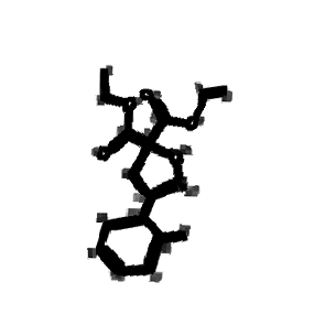 CCOC(=O)C1(C(=O)OCC)CC(c2ccccc2C)=NO1